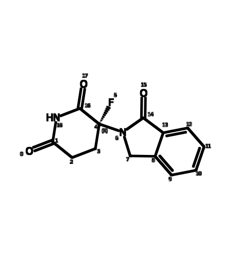 O=C1CC[C@](F)(N2Cc3ccccc3C2=O)C(=O)N1